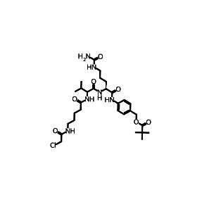 CC(C)C(NC(=O)CCCCNC(=O)CCl)C(=O)N[C@@H](CCCNC(N)=O)C(=O)Nc1ccc(COC(=O)C(C)(C)C)cc1